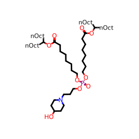 CCCCCCCCC(CCCCCCCC)OC(=O)CCCCCCCOP(=O)(OCCCCCCCC(=O)OC(CCCCCCCC)CCCCCCCC)OCCCN1CCC(O)CC1